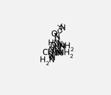 Cc1c(C)n(C)c2ccc(C(=O)N3CCC4(CC3)CN(N)C(NC(=O)C3=NC(Cl)=C(N=NN)NC3N=NN)N4)cc12